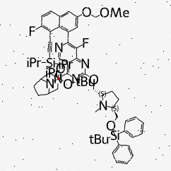 COCOc1cc(-c2ncc3c(N4CC5CCC(C4)N5C(=O)OC(C)(C)C)nc(OC[C@@H]4CC[C@@H](CO[Si](c5ccccc5)(c5ccccc5)C(C)(C)C)N4C)nc3c2F)c2c(C#C[Si](C(C)C)(C(C)C)C(C)C)c(F)ccc2c1